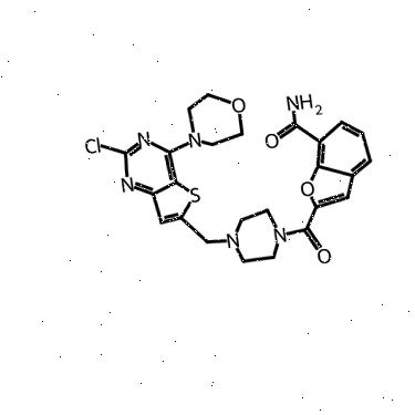 NC(=O)c1cccc2cc(C(=O)N3CCN(Cc4cc5nc(Cl)nc(N6CCOCC6)c5s4)CC3)oc12